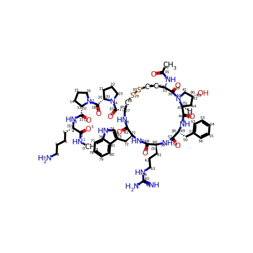 CNC(=O)[C@H](CCCCN)NC(=O)[C@@H]1CCCN1C(=O)[C@@H]1CCCN1C(=O)[C@@H]1CSSCC[C@H](NC(C)=O)C(=O)N2C[C@H](O)C[C@H]2C(=O)N[C@H](Cc2ccccc2)C(=O)N[C@@H](CCCNC(=N)N)C(=O)N[C@@H](Cc2c[nH]c3ccccc23)C(=O)N1